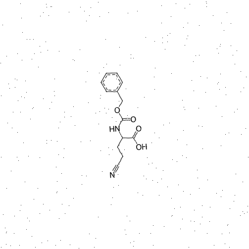 N#CCCC(NC(=O)OCc1ccccc1)C(=O)O